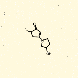 CN1CC(N2CCC(O)C2)=CC1=O